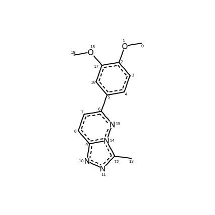 COc1ccc(-c2ccc3nnc(C)n3n2)cc1OC